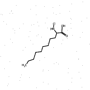 CCCCCCCCCC(NCl)C(=O)O